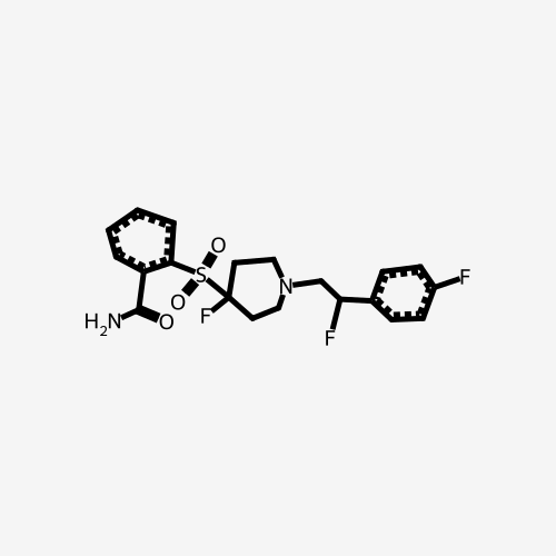 NC(=O)c1ccccc1S(=O)(=O)C1(F)CCN(CC(F)c2ccc(F)cc2)CC1